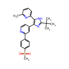 Cc1cccc(-c2[nH]c(C(C)(C)C)nc2-c2ccnc(-c3ccc(S(C)(=O)=O)cc3)c2)n1